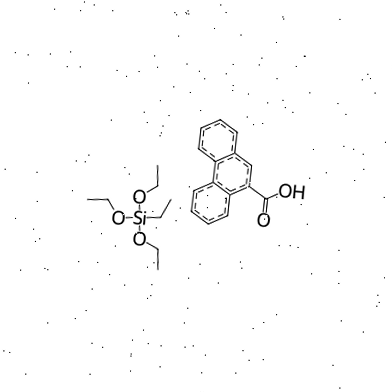 CCO[Si](CC)(OCC)OCC.O=C(O)c1cc2ccccc2c2ccccc12